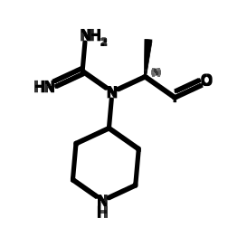 C[C@@H]([C]=O)N(C(=N)N)C1CCNCC1